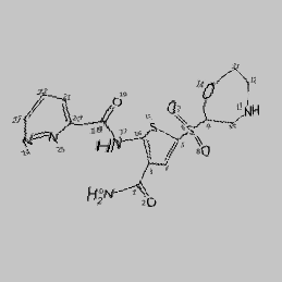 NC(=O)c1cc(S(=O)(=O)C2CNCCO2)sc1NC(=O)c1cccnn1